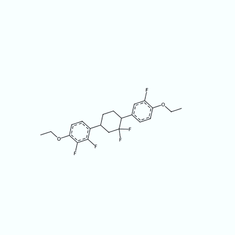 CCOc1ccc(C2CCC(c3ccc(OCC)c(F)c3F)CC2(F)F)cc1F